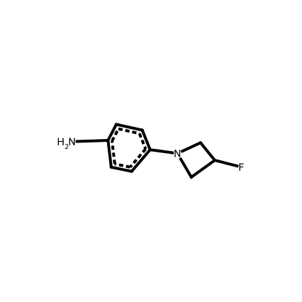 Nc1ccc(N2CC(F)C2)cc1